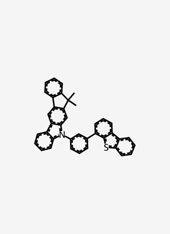 CC1(C)c2ccccc2-c2cc3c4ccccc4n(-c4cccc(-c5cccc6c5sc5ccccc56)c4)c3cc21